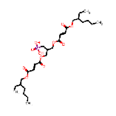 CCCCC(CC)COC(=O)/C=C/C(=O)OCC(COC(=O)/C=C/C(=O)OCC(CC)CCCC)CP(=O)(O)O